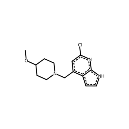 COC1CCN(Cc2cc(Cl)nc3[nH]ccc23)CC1